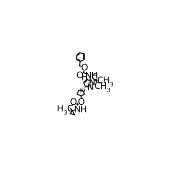 CC1(NC(=O)OC2CC[C@H](c3cc(NC(=O)OCc4ccccc4)n(C(C)(C)C)n3)C2)CC1